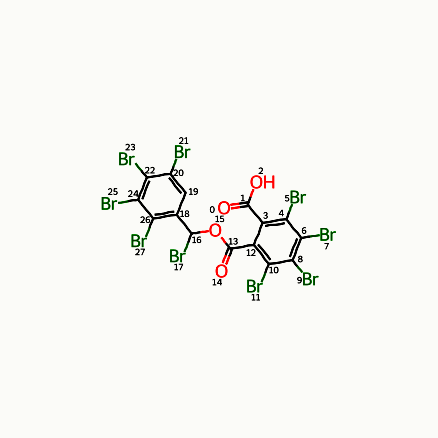 O=C(O)c1c(Br)c(Br)c(Br)c(Br)c1C(=O)OC(Br)c1cc(Br)c(Br)c(Br)c1Br